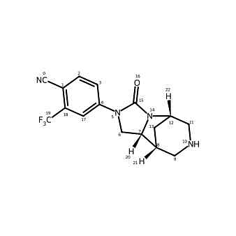 N#Cc1ccc(N2C[C@H]3[C@H]4CNC[C@H](C4)N3C2=O)cc1C(F)(F)F